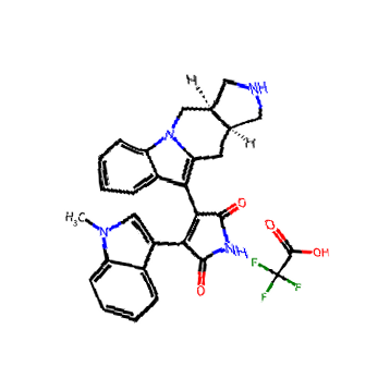 Cn1cc(C2=C(c3c4n(c5ccccc35)C[C@H]3CNC[C@H]3C4)C(=O)NC2=O)c2ccccc21.O=C(O)C(F)(F)F